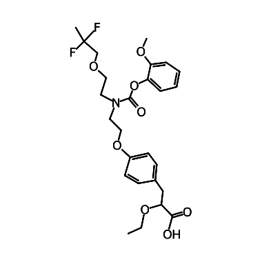 CCOC(Cc1ccc(OCCN(CCOCC(C)(F)F)C(=O)Oc2ccccc2OC)cc1)C(=O)O